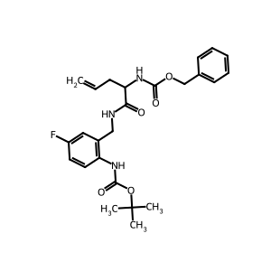 C=CCC(NC(=O)OCc1ccccc1)C(=O)NCc1cc(F)ccc1NC(=O)OC(C)(C)C